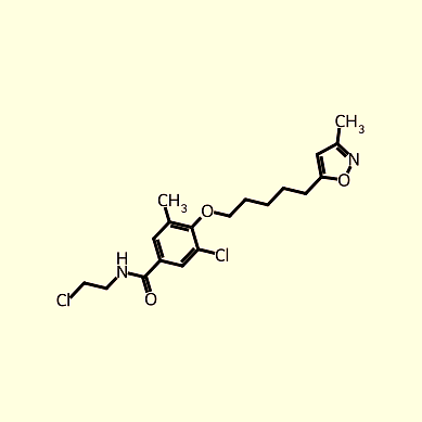 Cc1cc(CCCCCOc2c(C)cc(C(=O)NCCCl)cc2Cl)on1